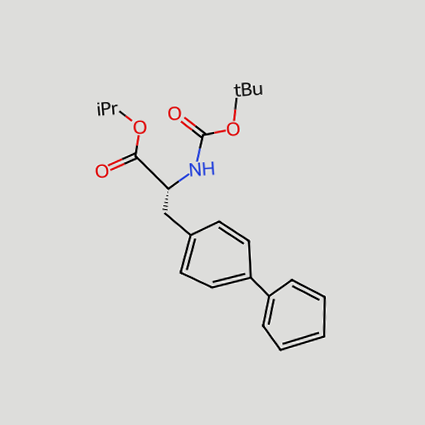 CC(C)OC(=O)[C@@H](Cc1ccc(-c2ccccc2)cc1)NC(=O)OC(C)(C)C